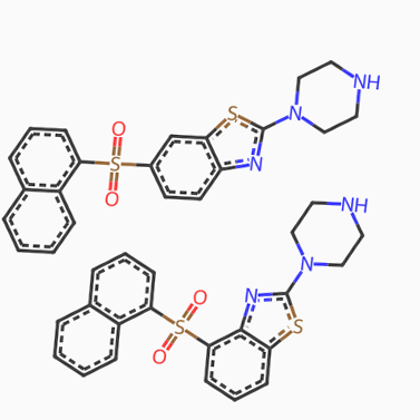 O=S(=O)(c1ccc2nc(N3CCNCC3)sc2c1)c1cccc2ccccc12.O=S(=O)(c1cccc2ccccc12)c1cccc2sc(N3CCNCC3)nc12